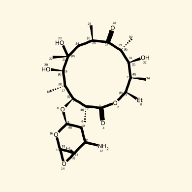 CC[C@H]1OC(=O)[C@H](C)[C@@H](O[C@H]2CC(N)[C@@H]3OC3O2)[C@H](C)[C@@H](O)[C@](C)(O)C[C@@H](C)C(=O)[C@H](C)[C@@H](O)[C@H]1C